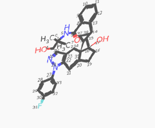 CC(C)(CO)NC(=O)c1ccccc1CC[C@]1(O)CCC2=Cc3c(cnn3-c3ccc(F)cc3)C[C@@]21C1CC1